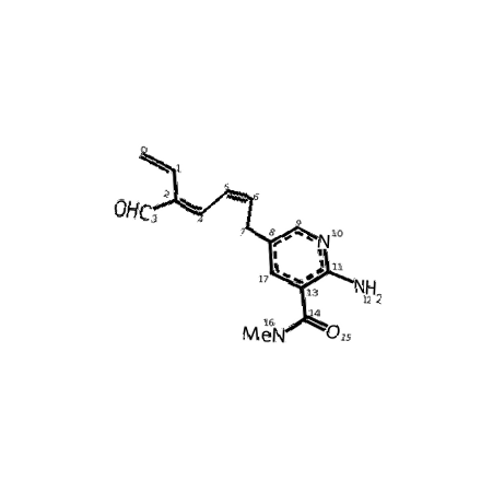 C=C/C(C=O)=C\C=C/Cc1cnc(N)c(C(=O)NC)c1